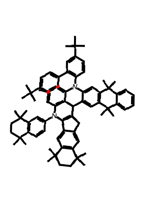 Cc1cc2c3c(c1)N(c1ccc(C(C)(C)C)cc1-c1ccc(C(C)(C)C)cc1)c1cc4c(cc1C3C1=C(c3cc5c(cc3C1)C(C)(C)CCC5(C)C)N2c1ccc2c(c1)C(C)(C)CCC2(C)C)C(C)(C)c1ccccc1C4(C)C